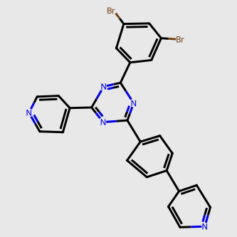 Brc1cc(Br)cc(-c2nc(-c3ccncc3)nc(-c3ccc(-c4ccncc4)cc3)n2)c1